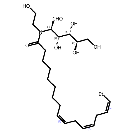 CC/C=C\C/C=C\C/C=C\CCCCCCCC(=O)N(CCO)[C@@H](C=O)[C@@H](O)[C@H](O)[C@H](O)CO